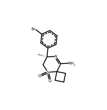 C[C@@]1(c2cccc(Br)c2)CS(=O)(=O)C2(CCC2)C(N)=N1